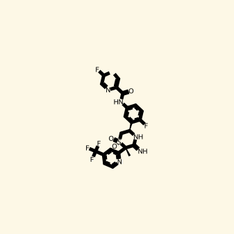 C/C=C(\N=C/C(C)F)C(=O)Nc1ccc(F)c([C@@H]2CS(=O)(=O)[C@@](C)(c3cc(C(F)(F)F)ccn3)C(=N)N2)c1